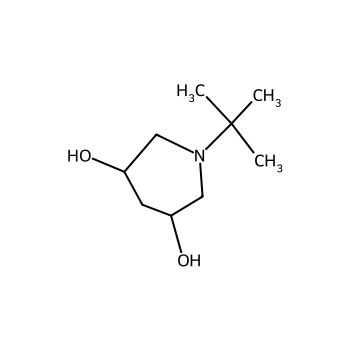 CC(C)(C)N1CC(O)CC(O)C1